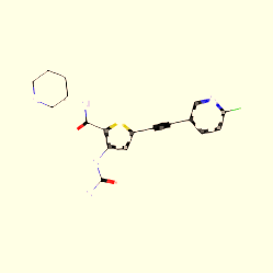 NC(=O)Nc1cc(C#Cc2ccc(Cl)nc2)sc1C(=O)N[C@H]1CCCNC1